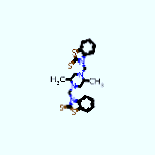 CC1CN(Cn2c(=S)sc3ccccc32)C(C)CN1Cn1c(=S)sc2ccccc21